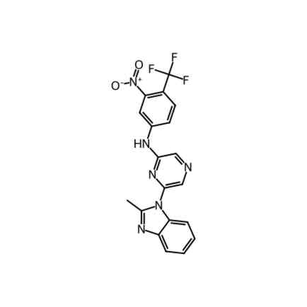 Cc1nc2ccccc2n1-c1cncc(Nc2ccc(C(F)(F)F)c([N+](=O)[O-])c2)n1